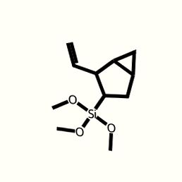 C=CC1C2CC2CC1[Si](OC)(OC)OC